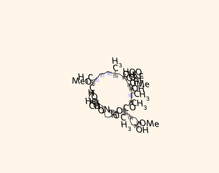 CO[C@H]1C[C@@H]2CC[C@@H](C)[C@@](O)(O2)C(=O)C(=O)N2CCCC[C@H]2C(=O)O[C@H]([C@H](C)C[C@@H]2CC[C@@H](O)[C@H](OC)C2)CC(=O)[C@H](C)/C=C(\C)[C@@H](O)[C@@H](OC)C(=O)[C@H](C)C[C@H](C)/C=C/C=C/C=C/1C.O=S(=O)(O)C(F)(F)F